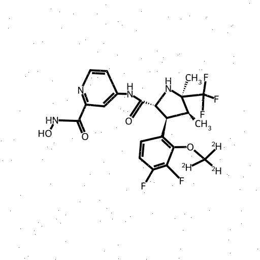 [2H]C([2H])([2H])Oc1c([C@H]2[C@H](C(=O)Nc3ccnc(C(=O)NO)c3)N[C@@](C)(C(F)(F)F)[C@H]2C)ccc(F)c1F